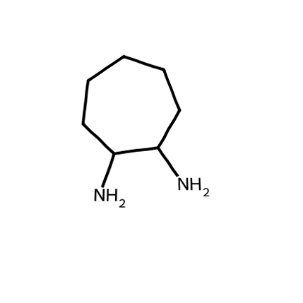 NC1CCCCCC1N